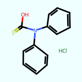 Cl.OC(=S)N(c1ccccc1)c1ccccc1